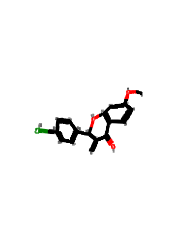 C=C1C(=O)c2ccc(OC)cc2OC1c1ccc(Cl)cc1